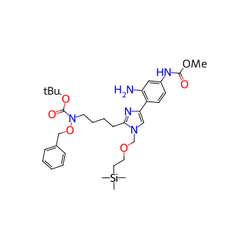 COC(=O)Nc1ccc(-c2cn(COCC[Si](C)(C)C)c(CCCCN(OCc3ccccc3)C(=O)OC(C)(C)C)n2)c(N)c1